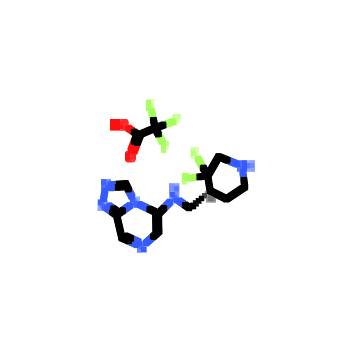 FC1(F)CNCC[C@@H]1CNc1cncc2nncn12.O=C(O)C(F)(F)F